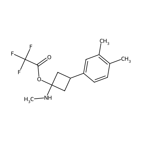 CNC1(OC(=O)C(F)(F)F)CC(c2ccc(C)c(C)c2)C1